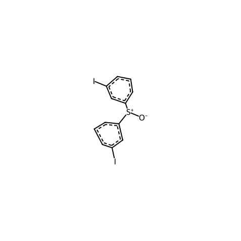 [O-][S+](c1cccc(I)c1)c1cccc(I)c1